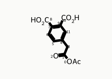 CC(=O)OC(=O)Cc1ccc(C(=O)O)c(C(=O)O)c1